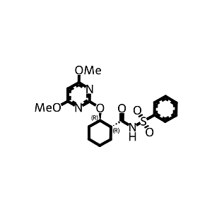 COc1cc(OC)nc(O[C@@H]2CCCC[C@H]2C(=O)NS(=O)(=O)c2ccccc2)n1